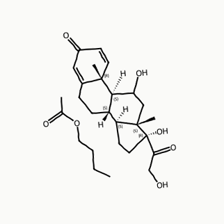 CCCCOC(C)=O.C[C@]12C=CC(=O)C=C1CC[C@@H]1[C@@H]2C(O)C[C@@]2(C)[C@H]1CC[C@]2(O)C(=O)CO